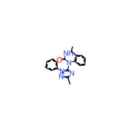 CCc1ccccc1N(C(N)=O)c1nc(C)nn1-c1ccccc1